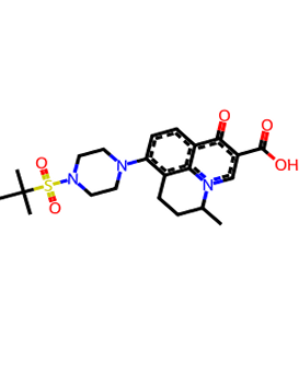 CC1CCc2c(N3CCN(S(=O)(=O)C(C)(C)C)CC3)ccc3c(=O)c(C(=O)O)cn1c23